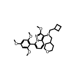 COc1cc(OC)c(-c2cccc3c(N(CC4CCC4)CC4CCOCC4)c(OC)nn23)c(OC)c1